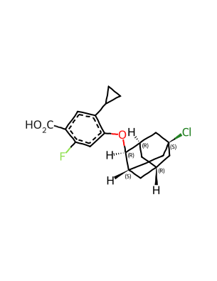 O=C(O)c1cc(C2CC2)c(O[C@H]2[C@@H]3C[C@H]4C[C@H]2C[C@@](Cl)(C4)C3)cc1F